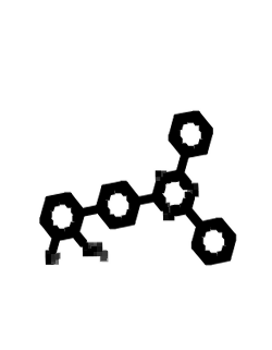 Nc1c(Br)cccc1-c1ccc(-c2nc(-c3ccccc3)nc(-c3ccccc3)n2)cc1